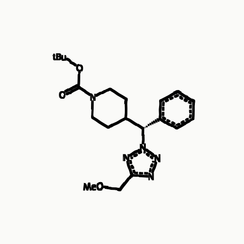 COCc1nnn([C@@H](c2ccccc2)C2CCN(C(=O)OC(C)(C)C)CC2)n1